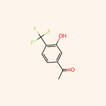 CC(=O)c1ccc(C(F)(F)F)c(O)c1